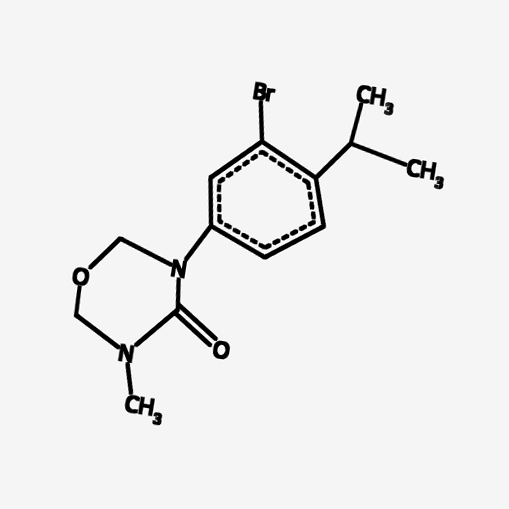 CC(C)c1ccc(N2COCN(C)C2=O)cc1Br